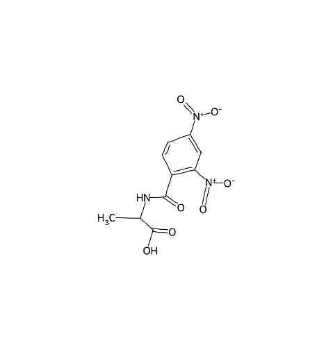 CC(NC(=O)c1ccc([N+](=O)[O-])cc1[N+](=O)[O-])C(=O)O